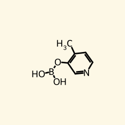 Cc1ccncc1OB(O)O